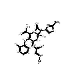 Nc1nc([C@@H]2C(=O)N3C(C(=O)O)=C(Sc4ccccc4I)C(NC(=O)C=NO)S[C@@H]23)cs1